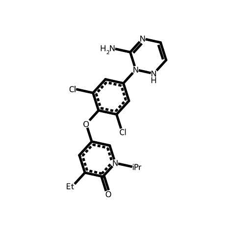 CCc1cc(Oc2c(Cl)cc(N3NC=CN=C3N)cc2Cl)cn(C(C)C)c1=O